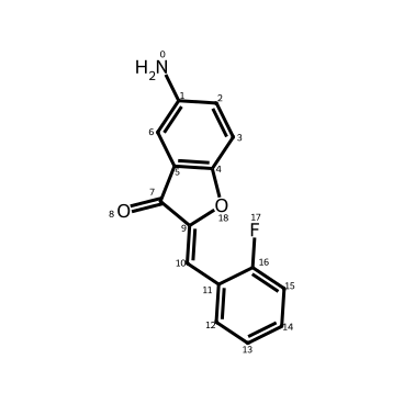 Nc1ccc2c(c1)C(=O)/C(=C/c1ccccc1F)O2